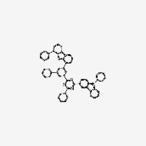 c1ccc(-c2cc(-c3nc(-c4ccccc4)nc(-c4ccc5c(c4)c4ccccc4n5-c4ccccc4)n3)cc(-c3cccc4c3sc3c(-c5ccccc5)cccc34)c2)cc1